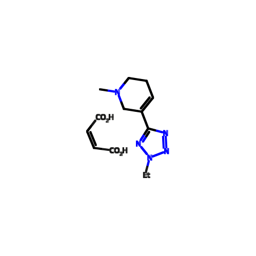 CCn1nnc(C2=CCCN(C)C2)n1.O=C(O)/C=C\C(=O)O